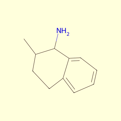 CC1CCc2ccccc2C1N